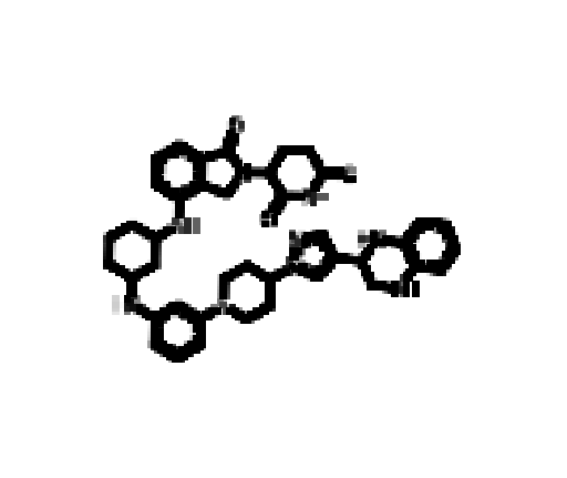 O=C1CCC(N2Cc3c(NC4CCCC(Nc5cccc(N6CCC(n7cc(C8CNc9ccccc9N8)cn7)CC6)c5)C4)cccc3C2=O)C(=O)N1